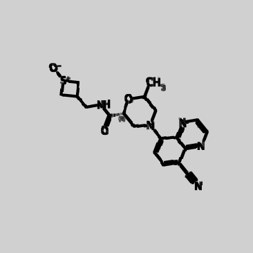 CC1CN(c2ccc(C#N)c3nccnc23)C[C@H](C(=O)NCC2C[S+]([O-])C2)O1